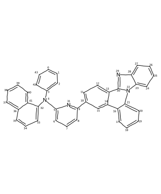 c1ccc(N(c2cccc(-c3ccc4c(c3)c3ccccc3n3c5ccccc5nc43)n2)c2cccc3ccccc23)cc1